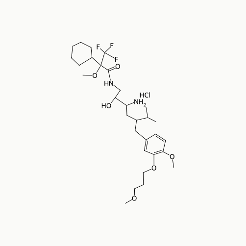 COCCCOc1cc(CC(CC(N)C(O)CNC(=O)C(OC)(C2CCCCC2)C(F)(F)F)C(C)C)ccc1OC.Cl